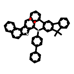 CC1(C)c2ccccc2-c2cc(-c3ccccc3)c(N(c3ccc(-c4ccccc4)cc3)c3cncc4c3oc3ccc5ccccc5c34)cc21